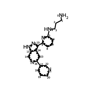 NCCCNc1cccc(-c2n[nH]c3cnc(-c4cccnc4)cc23)n1